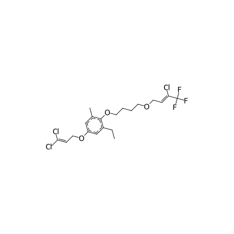 CCc1cc(OCC=C(Cl)Cl)cc(C)c1OCCCCOCC=C(Cl)C(F)(F)F